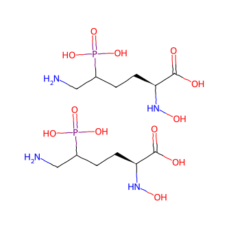 NCC(CC[C@H](NO)C(=O)O)P(=O)(O)O.NCC(CC[C@H](NO)C(=O)O)P(=O)(O)O